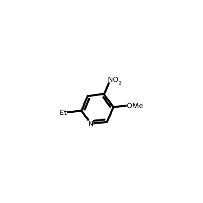 CCc1cc([N+](=O)[O-])c(OC)cn1